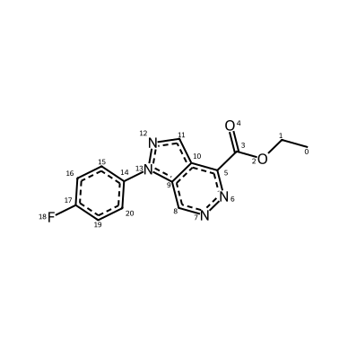 CCOC(=O)c1nncc2c1cnn2-c1ccc(F)cc1